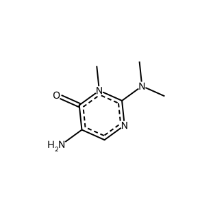 CN(C)c1ncc(N)c(=O)n1C